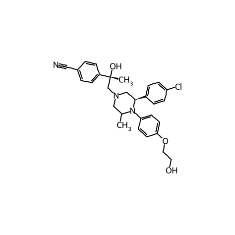 CC1CN(C[C@@](C)(O)c2ccc(C#N)cc2)C[C@@H](c2ccc(Cl)cc2)N1c1ccc(OCCO)cc1